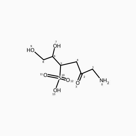 NCC(=O)CC(C(O)CO)S(=O)(=O)O